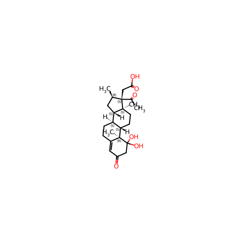 CC(=O)[C@@]1(CC(=O)O)[C@H](C)C[C@H]2[C@@H]3CCC4=CC(=O)CC(O)(O)[C@]4(C)[C@H]3CC[C@@]21C